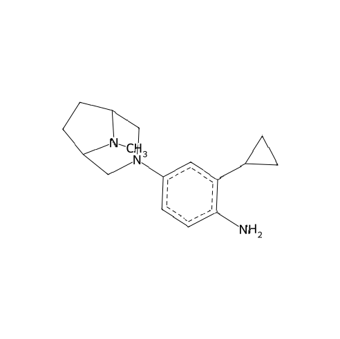 CN1C2CCC1CN(c1ccc(N)c(C3CC3)c1)C2